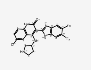 O=c1[nH]c2ccc(Cl)cc2c(N[C@H]2CCNC2)c1-c1nc2cc(F)c(Cl)cc2[nH]1